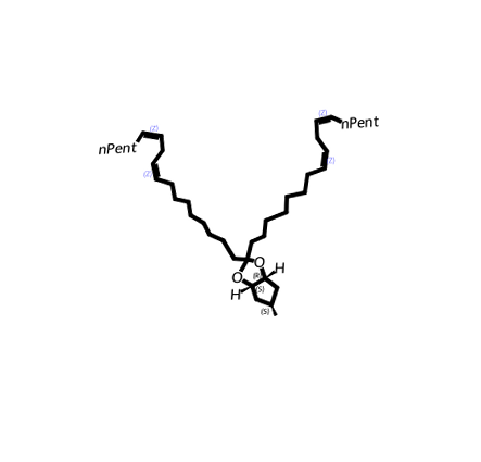 CCCCC/C=C\C/C=C\CCCCCCCCC1(CCCCCCC/C=C\C/C=C\CCCCC)O[C@H]2C[C@H](C)C[C@H]2O1